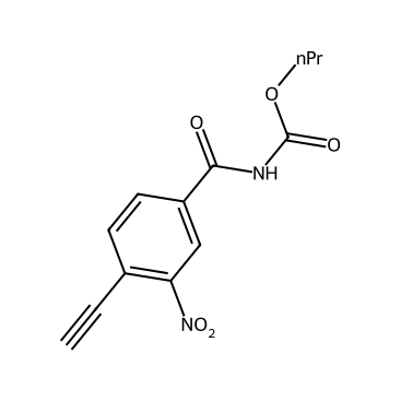 C#Cc1ccc(C(=O)NC(=O)OCCC)cc1[N+](=O)[O-]